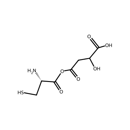 N[C@@H](CS)C(=O)OC(=O)CC(O)C(=O)O